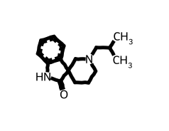 CC(C)CN1CCCC2(C1)C(=O)Nc1ccccc12